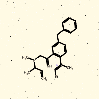 C=CC(C)N(C)CC(=N)c1cc(Cc2ccccc2)ccc1/C(C)=C/CC